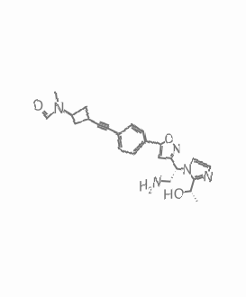 C[C@H](O)c1nccn1[C@H](CN)c1cc(-c2ccc(C#CC3CC(N(C)C=O)C3)cc2)on1